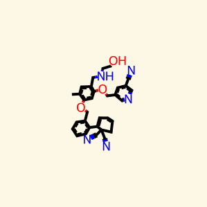 Cc1cc(CNCCO)c(OCc2cncc(C#N)c2)cc1OCc1ccccc1C1=CC=CCC1(C#N)C#N